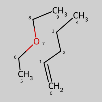 C=CCCC.CCOCC